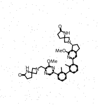 COc1nc(-c2cccc(-c3cccc(-c4cc5c(c(OC)n4)[C@@H](N4CC6(CCC(=O)N6)C4)CC5)c3C)c2C)cnc1CN1CC2(CCC(=O)N2)C1